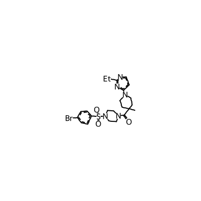 CCc1nccc(N2CCC(C)(C(=O)N3CCN(S(=O)(=O)c4ccc(Br)cc4)CC3)CC2)n1